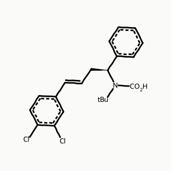 CC(C)(C)N(C(=O)O)[C@@H](C/C=C/c1ccc(Cl)c(Cl)c1)c1ccccc1